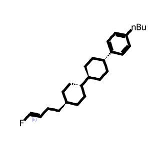 CCCCc1ccc([C@H]2CC[C@H]([C@H]3CC[C@H](CC/C=C/F)CC3)CC2)cc1